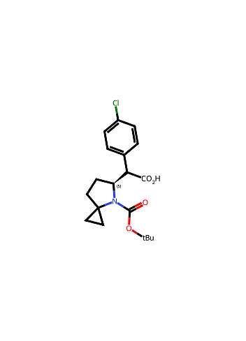 CC(C)(C)OC(=O)N1[C@H](C(C(=O)O)c2ccc(Cl)cc2)CCC12CC2